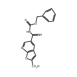 N=C(NC(=O)OCc1ccccc1)c1cnc2oc(C(=O)O)cc2c1